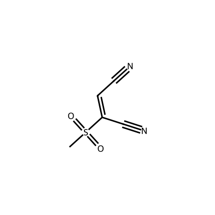 CS(=O)(=O)C(C#N)=CC#N